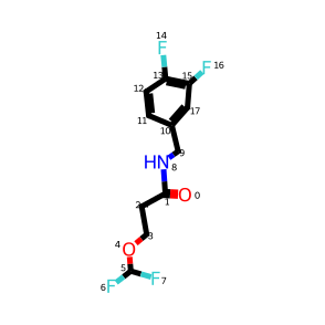 O=C([CH]COC(F)F)NCc1ccc(F)c(F)c1